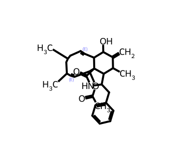 C=C1C(C)C2C(Cc3ccccc3)NC(=O)C23C(OC(C)=O)/C=C/C(C)CC(C)C/C=C/C3C1O